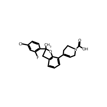 CC1(c2ccc(Cl)cc2F)Cc2cccc(C3=CCN(C(=O)O)CC3)c2O1